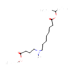 CCCCCCCCC(CCCCCCCC)OC(=O)CCCCCCCN(CC)CCCC(=O)OCCCCCCC